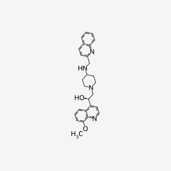 COc1cccc2c([C@@H](O)CN3CCC(NCc4ccc5ccccc5n4)CC3)ccnc12